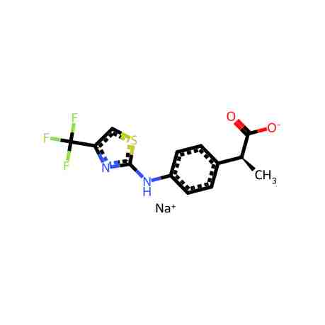 C[C@H](C(=O)[O-])c1ccc(Nc2nc(C(F)(F)F)cs2)cc1.[Na+]